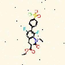 CCOC(=O)C1Cc2cc(F)c(-c3ccc(S(=O)(=O)Cl)cc3)c(F)c2N(CC)C1=O